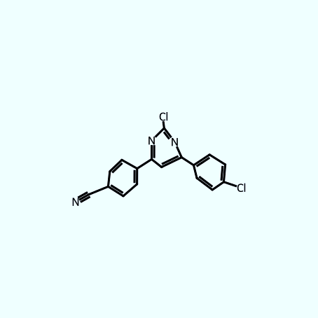 N#Cc1ccc(-c2cc(-c3ccc(Cl)cc3)nc(Cl)n2)cc1